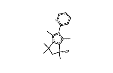 Cc1c2c(c(C)n1-c1ccccn1)C(C)(C#N)CC2(C)C